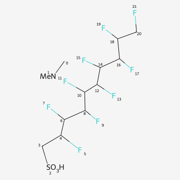 CNC.O=S(=O)(O)CC(F)C(F)C(F)C(F)C(F)C(F)C(F)C(F)CF